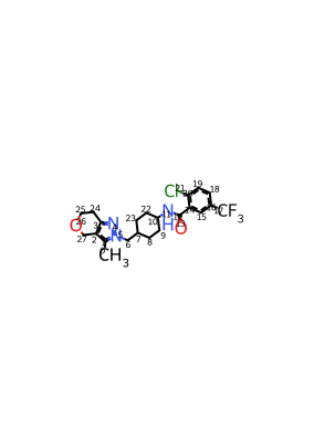 Cc1c2c(nn1CC1CCC(NC(=O)c3cc(C(F)(F)F)ccc3Cl)CC1)CCOC2